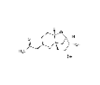 CC(=O)C[C@H]1CC[C@@H]2O[C@@H]3C[C@]2(C[C@@H](O)[C@H]3O)O1